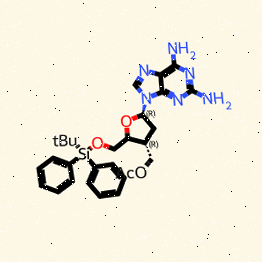 CC(=O)OC[C@H]1C[C@H](n2cnc3c(N)nc(N)nc32)OC1CO[Si](c1ccccc1)(c1ccccc1)C(C)(C)C